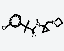 CN(C(=O)C(C)(C)c1cccc(Cl)c1)C1(CN2CCC2)CC1